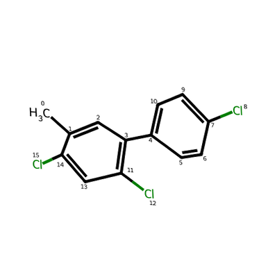 Cc1cc(-c2ccc(Cl)cc2)c(Cl)cc1Cl